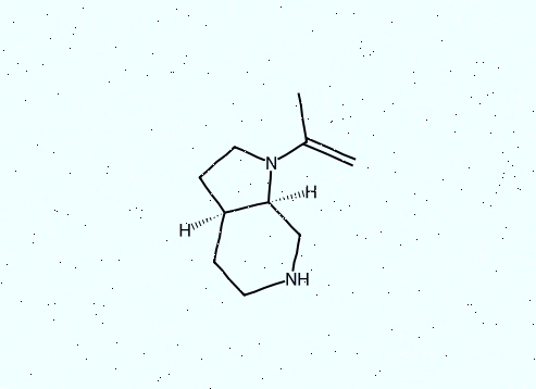 C=C(C)N1CC[C@@H]2CCNC[C@@H]21